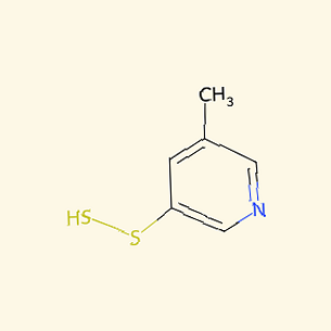 Cc1cncc(SS)c1